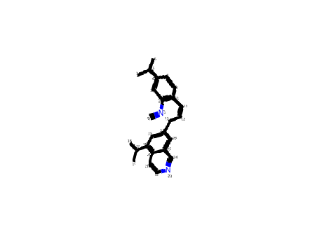 C=Nc1cc(C(C)C)ccc1/C=C\Cc1cc(C(C)C)c2ccncc2c1